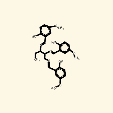 CCC(N=Cc1cc(OC)ccc1O)C(CN=Cc1cc(OC)ccc1O)N=Cc1cc(OC)ccc1O